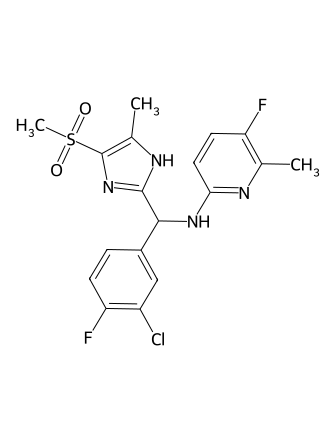 Cc1nc(NC(c2ccc(F)c(Cl)c2)c2nc(S(C)(=O)=O)c(C)[nH]2)ccc1F